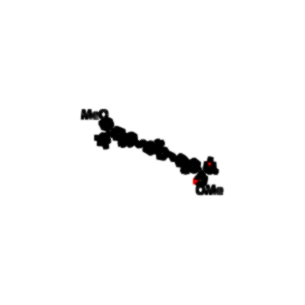 COc1ccc(N(c2cc(C)cc(C)c2)c2ccc3c(c2)C(C)(C)c2cc(/C=C/c4ccc5c(c4)C(C)(C)c4cc(/C=C/c6ccc7c(c6)C(C)(C)c6cc(N(c8ccc(OC)cc8)c8cc(C)cc(C)c8)ccc6-7)ccc4-5)ccc2-3)cc1